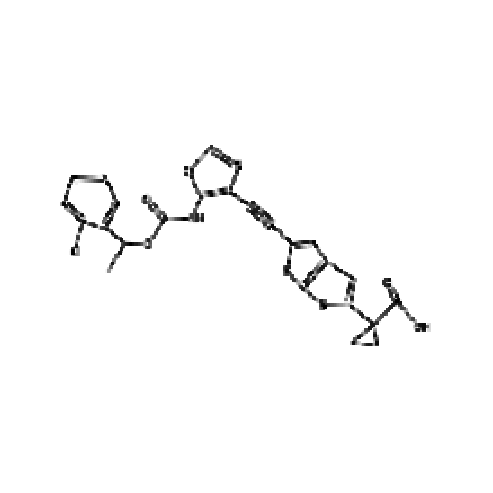 CC(OC(=O)Nc1ocnc1C#Cc1cc2cc(C3(C(=O)O)CC3)sc2s1)c1ccccc1Cl